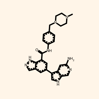 CN1CCN(Cc2ccc(NC(=O)c3cc(-c4c[nH]c5cnc(N)cc45)cc4cn[nH]c34)cc2)CC1